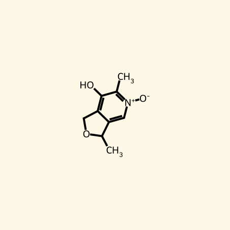 Cc1c(O)c2c(c[n+]1[O-])C(C)OC2